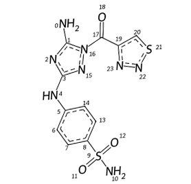 Nc1nc(Nc2ccc(S(N)(=O)=O)cc2)nn1C(=O)c1csnn1